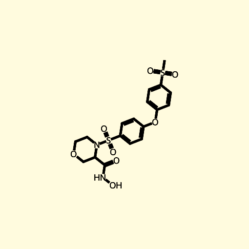 CS(=O)(=O)c1ccc(Oc2ccc(S(=O)(=O)N3CCOCC3C(=O)NO)cc2)cc1